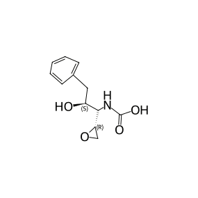 O=C(O)NC([C@@H]1CO1)[C@@H](O)Cc1ccccc1